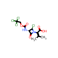 CC(C)=C(C(=O)O)N1C(=O)[C@H](NC(=O)OCC(Cl)(Cl)Cl)[C@H]1Cl